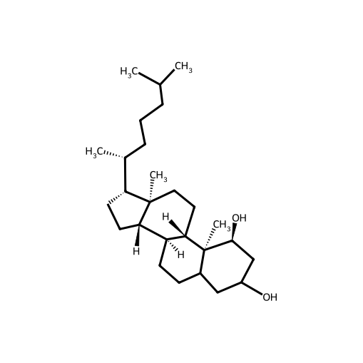 CC(C)CCC[C@@H](C)[C@H]1CC[C@H]2[C@@H]3CCC4CC(O)C[C@H](O)[C@]4(C)[C@H]3CC[C@]12C